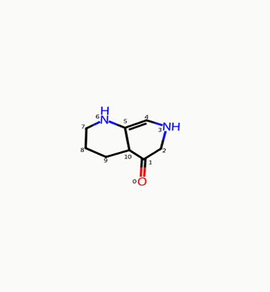 O=C1CNC=C2NCCCC12